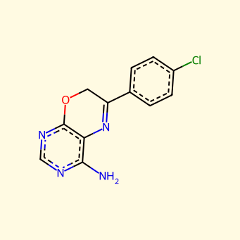 Nc1ncnc2c1N=C(c1ccc(Cl)cc1)CO2